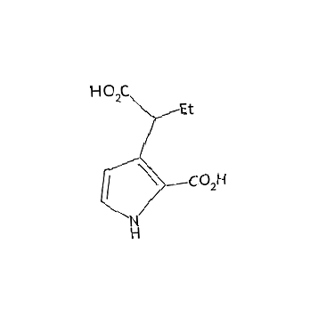 CCC(C(=O)O)c1cc[nH]c1C(=O)O